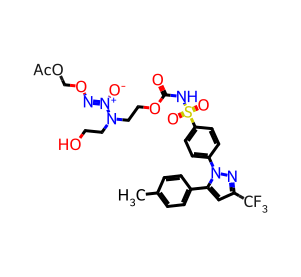 CC(=O)OCON=[N+]([O-])N(CCO)CCOC(=O)NS(=O)(=O)c1ccc(-n2nc(C(F)(F)F)cc2-c2ccc(C)cc2)cc1